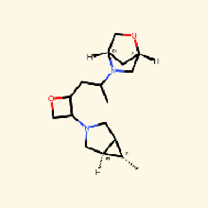 CC(CC1OCC1N1CC2[C@H](C)[C@H]2C1)N1C[C@@H]2C[C@H]1CO2